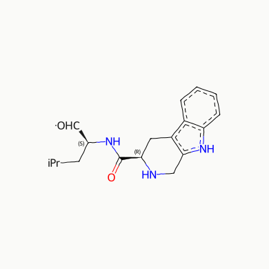 CC(C)C[C@@H]([C]=O)NC(=O)[C@H]1Cc2c([nH]c3ccccc23)CN1